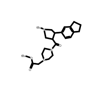 CC(C)(C)OC(=O)CN1CCN(C(=O)C2CN(C(C)(C)C)CC2c2ccc3c(c2)CCC3)CC1